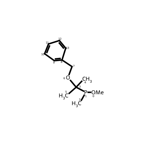 COP(C)C(C)(C)OCc1ccccc1